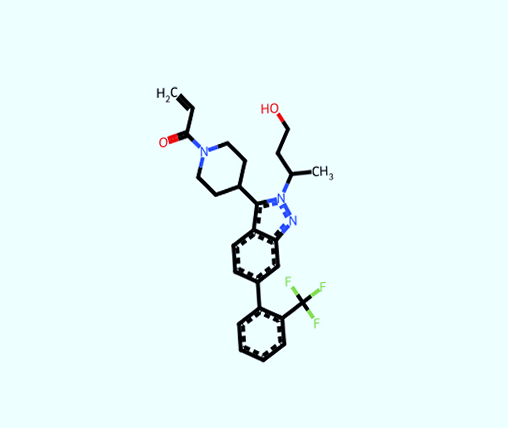 C=CC(=O)N1CCC(c2c3ccc(-c4ccccc4C(F)(F)F)cc3nn2C(C)CCO)CC1